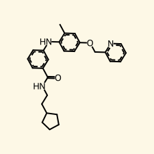 Cc1cc(OCc2ccccn2)ccc1Nc1cccc(C(=O)NCCC2CCCC2)c1